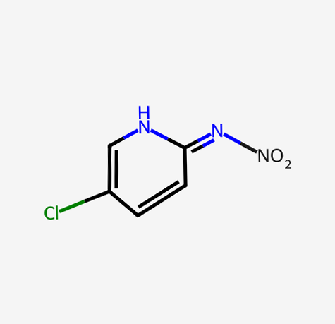 O=[N+]([O-])/N=c1\ccc(Cl)c[nH]1